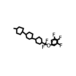 CC1CCC(C2CCC(C3CCC(C(F)(F)Oc4cc(F)c(F)c(F)c4)CC3)CC2)CC1